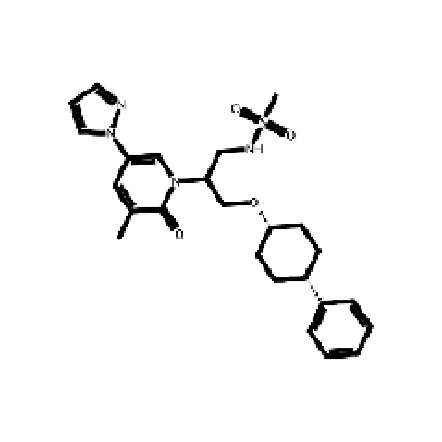 Cc1cc(-n2cccn2)cn(C(CNS(C)(=O)=O)CO[C@H]2CC[C@@H](c3ccccc3)CC2)c1=O